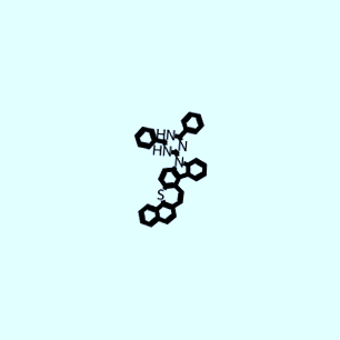 C1=CC2c3c(ccc4c3C=Cc3ccc5ccccc5c3S4)N(C3=NC(c4ccccc4)NC(c4ccccc4)N3)C2C=C1